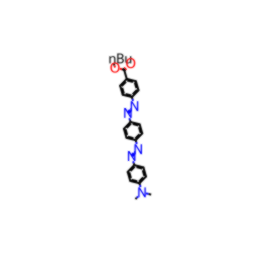 CCCCOC(=O)c1ccc(N=Nc2ccc(N=Nc3ccc(N(C)C)cc3)cc2)cc1